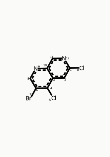 Clc1cc2c(Cl)c(Br)cnc2cn1